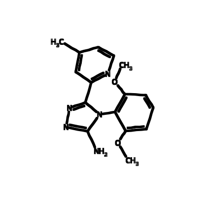 COc1cccc(OC)c1-n1c(N)nnc1-c1cc(C)ccn1